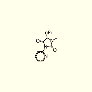 CCCC1C(=O)N(c2ccccn2)C(=O)N1C